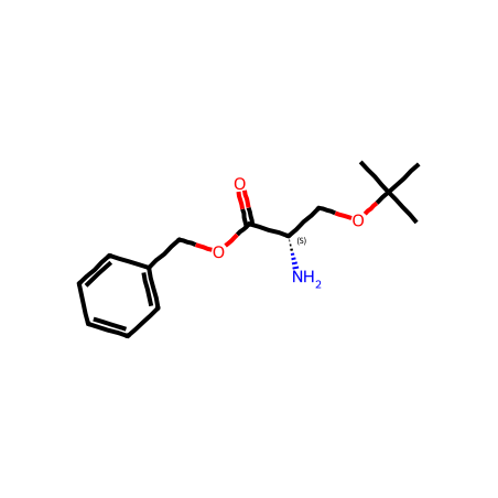 CC(C)(C)OC[C@H](N)C(=O)OCc1ccccc1